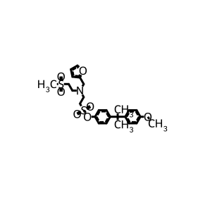 COc1ccc(C(C)(C)c2ccc(OS(=O)(=O)CCN(CCS(C)(=O)=O)Cc3ccco3)cc2)cc1